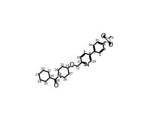 CS(=O)(=O)c1ccc(-c2ccc(COC3CCN(C(=O)C4CCCCC4)CC3)nc2)cc1